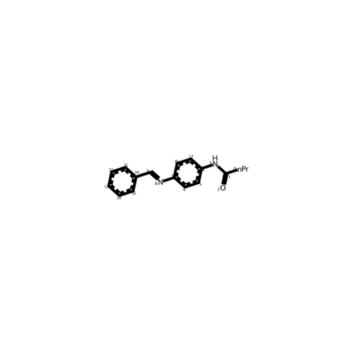 CCCC(=O)Nc1ccc(/N=C/c2ccccc2)cc1